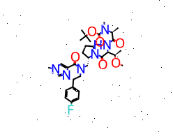 CO[C@H](C)[C@H](NC(=O)[C@H](C)N(C)C(=O)OC(C)(C)C)C(=O)N1CCC[C@H]1CN(CCc1ccc(F)cc1)C(=O)c1cn(C)cn1